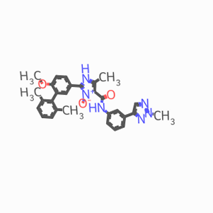 COc1ccc(-c2[nH]c(C)c(C(=O)Nc3cccc(-c4cnn(C)n4)c3)[n+]2[O-])cc1-c1c(C)cccc1C